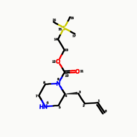 C=CCC[C@@H]1CNCCN1C(=O)OCCS(C)(C)C